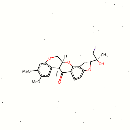 COc1cc2c(cc1OC)[C@@H]1C(=O)c3ccc4c(c3O[C@@H]1CO2)C[C@H]([C@](C)(O)CI)O4